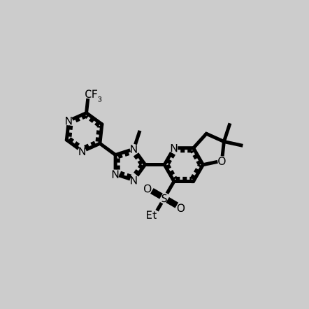 CCS(=O)(=O)c1cc2c(nc1-c1nnc(-c3cc(C(F)(F)F)ncn3)n1C)CC(C)(C)O2